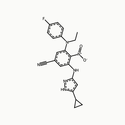 CCN(c1ccc(F)cc1)c1cc(C#N)cc(Nc2cc(C3CC3)[nH]n2)c1[N+](=O)[O-]